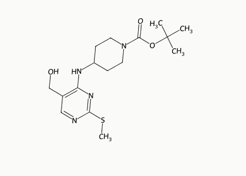 CSc1ncc(CO)c(NC2CCN(C(=O)OC(C)(C)C)CC2)n1